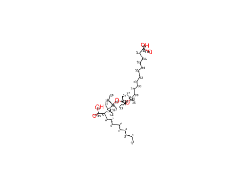 CCCCCCCCCC(C(=O)O)[Si](C)(C)C(C)(CC)O[Si](C)(C)O[Si](C)(C)CCCCCCCCCCC(=O)O